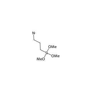 CO[Si](CCC[N])(OC)OC